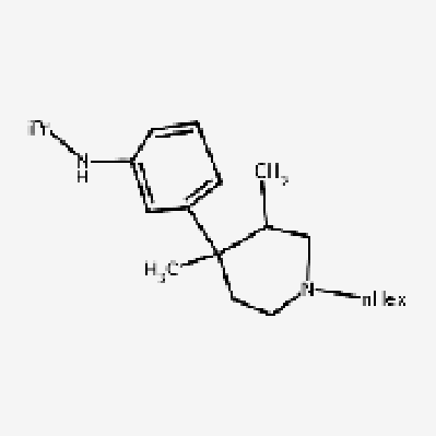 CCCCCCN1CCC(C)(c2cccc(NC(C)C)c2)C(C)C1